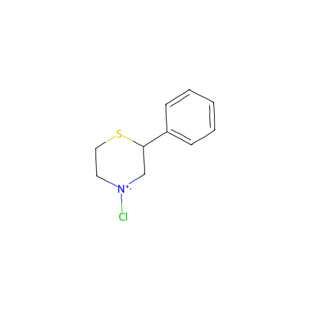 Cl[N+]1CCSC(c2ccccc2)C1